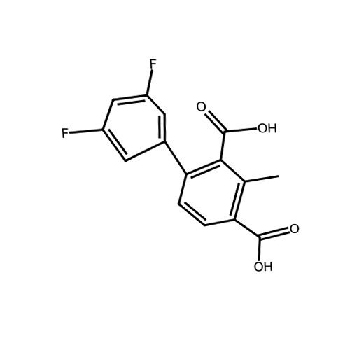 Cc1c(C(=O)O)ccc(-c2cc(F)cc(F)c2)c1C(=O)O